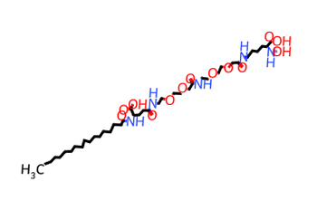 CCCCCCCCCCCCCCCCCC(=O)NC(CCC(=O)NCCOCCOCC(=O)NCCOCCOCC(=O)NCCCCC(NO)C(=O)O)C(=O)O